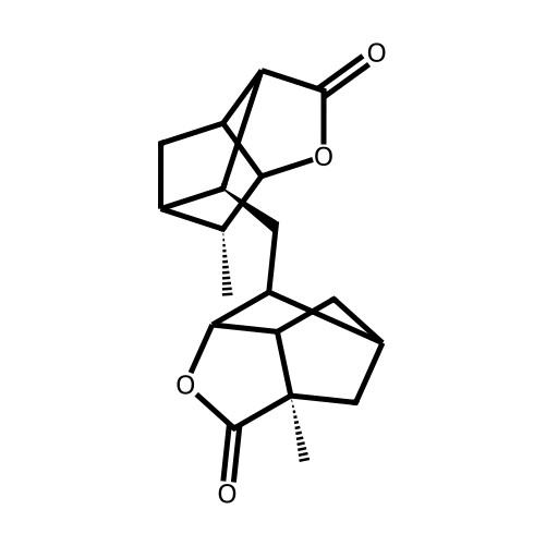 C[C@H]1C2OC(=O)C3C2CC1[C@@H]3CC1C2CC3C1OC(=O)[C@]3(C)C2